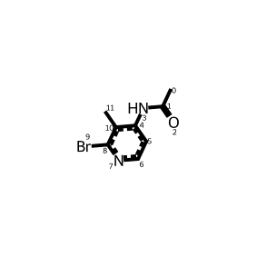 CC(=O)Nc1ccnc(Br)c1C